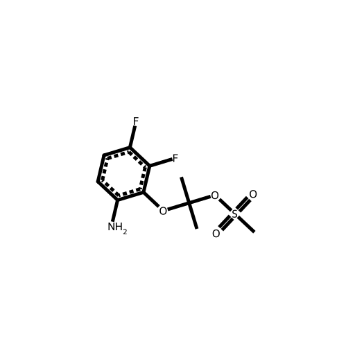 CC(C)(Oc1c(N)ccc(F)c1F)OS(C)(=O)=O